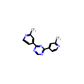 FC(F)(F)c1cc(-c2ncnc(-c3ccnc(C(F)(F)F)c3)n2)ccn1